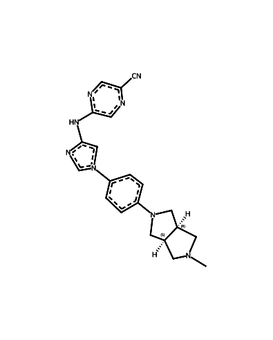 CN1C[C@@H]2CN(c3ccc(-n4cnc(Nc5cnc(C#N)cn5)c4)cc3)C[C@@H]2C1